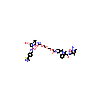 Cc1cc(C)c(CNC(=O)c2c(C)n(C(C)C3CCN(C(=O)COCCOCCOCC(=O)N[C@H](C(=O)N4C[C@H](O)C[C@H]4C(=O)NCc4ccc(-c5scnc5C)cc4)C(C)(C)C)CC3)c3ccccc23)c(=O)[nH]1